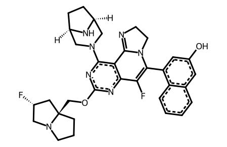 Oc1cc(C2=C(F)c3nc(OC[C@@]45CCCN4C[C@H](F)C5)nc(N4C[C@H]5CC[C@@H](C4)N5)c3C3=NCCN32)c2ccccc2c1